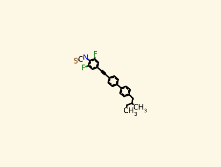 CCC(C)Cc1ccc(-c2ccc(C#Cc3cc(F)c(N=C=S)c(F)c3)cc2)cc1